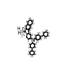 CC1(C)c2ccc(N(c3ccc(-c4ccccc4)cc3)c3ccc(-c4ccccc4)cc3)cc2-c2cc3ccccc3cc21